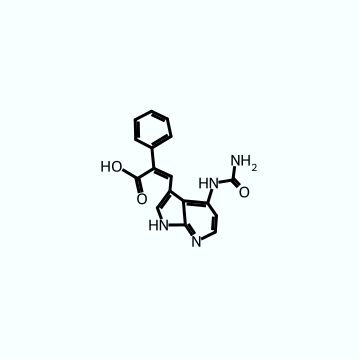 NC(=O)Nc1ccnc2[nH]cc(C=C(C(=O)O)c3ccccc3)c12